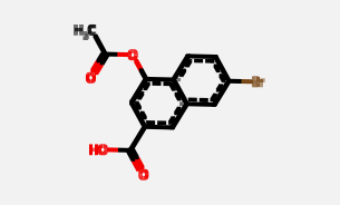 CC(=O)Oc1cc(C(=O)O)cc2cc(Br)ccc12